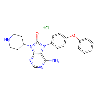 Cl.Nc1ncnc2c1n(-c1ccc(Oc3ccccc3)cc1)c(=O)n2C1CCNCC1